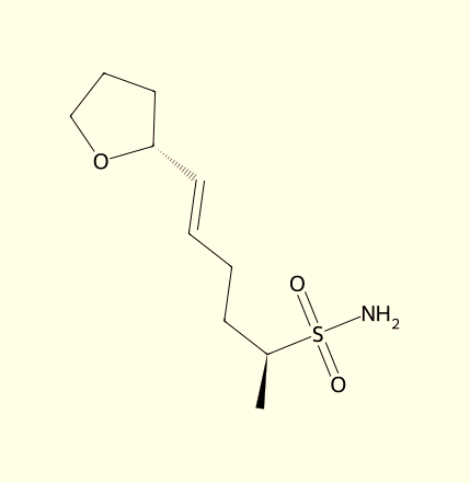 C[C@@H](CCC=C[C@H]1CCCO1)S(N)(=O)=O